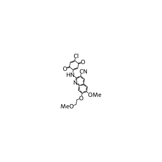 COCCOc1cc2nc(NC3=CC(=O)C(Cl)=CC3=O)c(C#N)cc2cc1OC